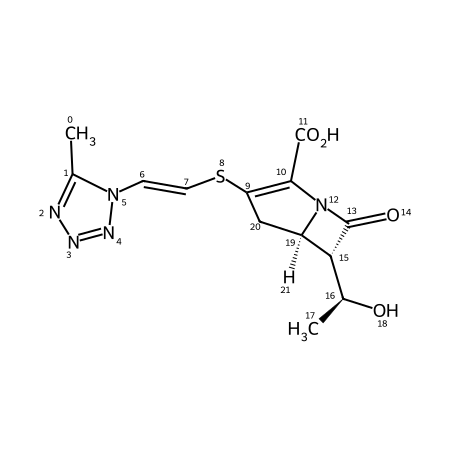 Cc1nnnn1/C=C/SC1=C(C(=O)O)N2C(=O)[C@H]([C@H](C)O)[C@H]2C1